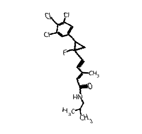 CC(/C=C/C1(F)CC1c1cc(Cl)c(Cl)c(Cl)c1)=C\C(=O)NCC(C)C